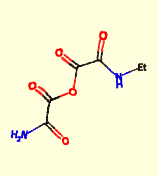 CCNC(=O)C(=O)OC(=O)C(N)=O